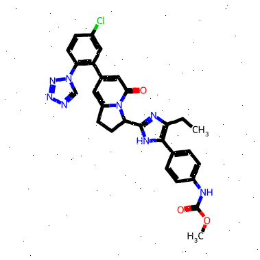 CCc1nc(C2CCc3cc(-c4cc(Cl)ccc4-n4cnnn4)cc(=O)n32)[nH]c1-c1ccc(NC(=O)OC)cc1